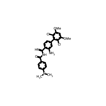 COc1cc(OC)c(Cl)c(-c2ccc(C(=N)NC(=O)c3ccc(N(C)C)cc3)c(N)c2)c1Cl